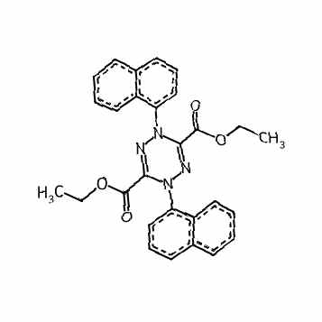 CCOC(=O)C1=NN(c2cccc3ccccc23)C(C(=O)OCC)=NN1c1cccc2ccccc12